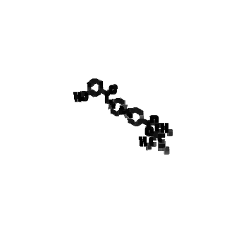 CC(C)(C)OC(=O)C1CCN(N2CCN(CC(=O)c3cccc(O)c3)CC2)CC1